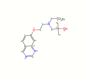 CCOC(=O)CN(CCOc1ccc2cncnc2c1)CC(C)(C)O